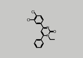 CCn1c(-c2ccccc2)cc(-c2ccc(Cl)c(Cl)c2)nc1=O